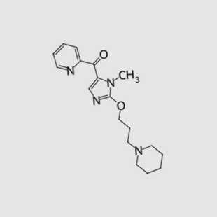 Cn1c(C(=O)c2ccccn2)cnc1OCCCN1CCCCC1